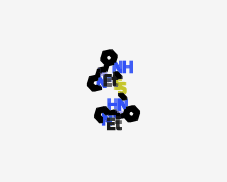 CC[n+]1ccccc1/C=C/c1ccccc1NCCSSCCNc1ccccc1/C=C/c1cccc[n+]1CC